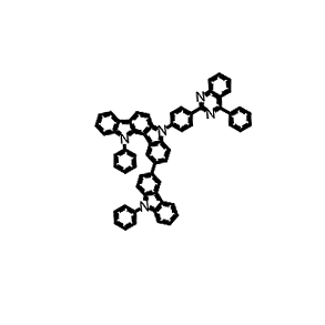 c1ccc(-c2nc(-c3ccc(-n4c5ccc(-c6ccc7c(c6)c6ccccc6n7-c6ccccc6)cc5c5c4ccc4c6ccccc6n(-c6ccccc6)c45)cc3)nc3ccccc23)cc1